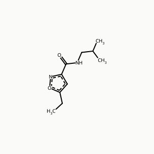 CCc1cc(C(=O)NCC(C)C)no1